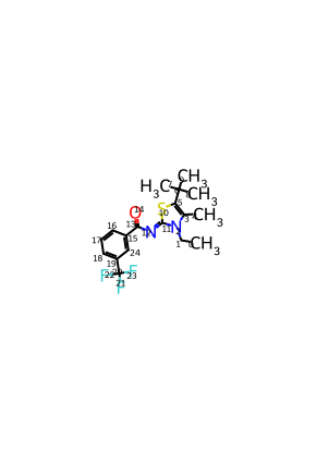 CCn1c(C)c(C(C)(C)C)s/c1=N\C(=O)c1cccc(C(F)(F)F)c1